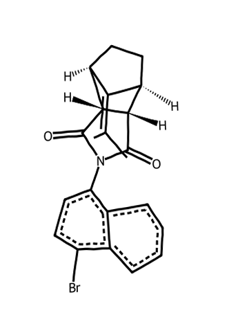 CC(C)=C1[C@H]2CC[C@@H]1[C@H]1C(=O)N(c3ccc(Br)c4ccccc34)C(=O)[C@H]12